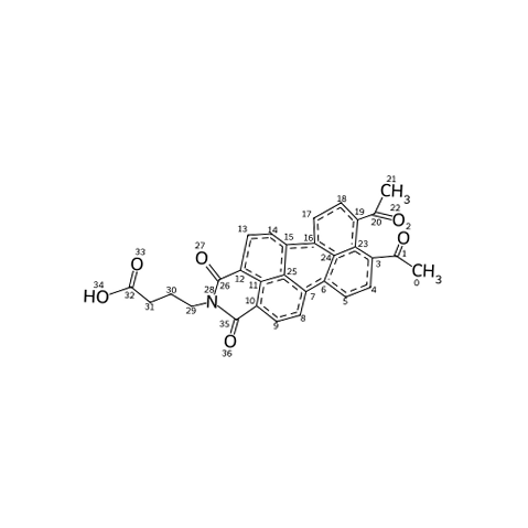 CC(=O)c1ccc2c3ccc4c5c(ccc(c6ccc(C(C)=O)c1c26)c53)C(=O)N(CCCC(=O)O)C4=O